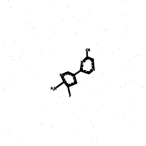 N#Cc1cncc(-c2cnc(N)c(F)c2)n1